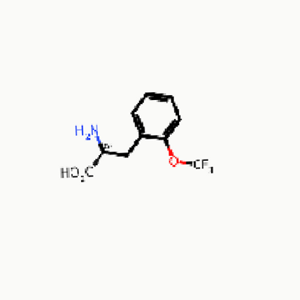 N[C@@H](Cc1ccccc1OC(F)(F)F)C(=O)O